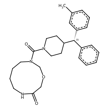 Cc1cccc([C@H](c2ccccc2)C2CCN(C(=O)N3CCCCNC(=O)COC3)CC2)c1